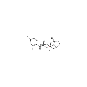 C[C@H](CO)N1C2CC[C@H]1C[C@@H](CC(=O)Nc1ccc(F)cc1F)C2